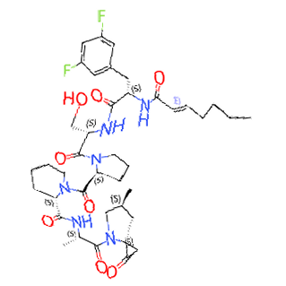 CCCC/C=C/C(=O)N[C@@H](Cc1cc(F)cc(F)c1)C(=O)N[C@@H](CO)C(=O)N1CCC[C@H]1C(=O)N1CCCC[C@H]1C(=O)N[C@@H](C)C(=O)N1C[C@@H](C)C[C@@]12CC2=O